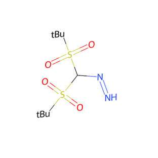 CC(C)(C)S(=O)(=O)C(N=N)S(=O)(=O)C(C)(C)C